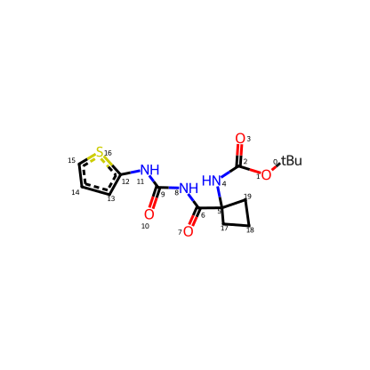 CC(C)(C)OC(=O)NC1(C(=O)NC(=O)Nc2cccs2)CCC1